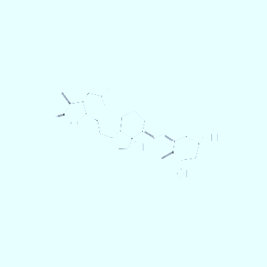 C=C1/C(=C\C=C2/CCC[C@]3(C)[C@@H]([C@H](C)C[C@H]4OC(=O)C(=C)[C@H]4CC(C)C)CC[C@@H]23)C[C@@H](O)[C@H](C)[C@@H]1O